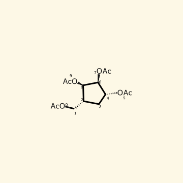 CC(=O)OC[C@H]1C[C@@H](OC(C)=O)[C@H](OC(C)=O)[C@@H]1OC(C)=O